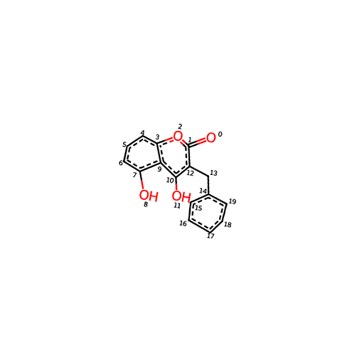 O=c1oc2cccc(O)c2c(O)c1Cc1ccccc1